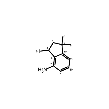 CC1(C)CC(I)c2c(N)cccc21